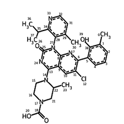 Cc1cccc(-c2nc3c(cc2Cl)c(N2CCN(C(=O)O)CC2C)nc(=O)n3-c2c(C)ccnc2C(C)C)c1O